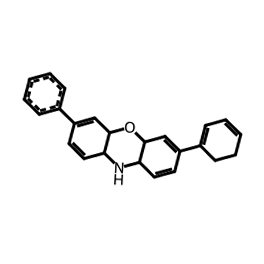 C1=CCCC(C2=CC3OC4C=C(c5ccccc5)C=CC4NC3C=C2)=C1